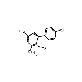 Cc1cc(C(C)(C)C)cc(-c2ccc(Cl)cc2)c1O